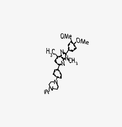 COc1ccc(-c2nc3c(C)cc(-c4ccc(N5CCN(C(C)C)CC5)cc4)nc3n2C)cc1OC